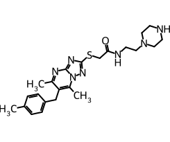 Cc1ccc(Cc2c(C)nc3nc(SCC(=O)NCCN4CCNCC4)nn3c2C)cc1